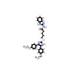 COc1ccc(-c2nc(SCCCCC(=O)Nc3nc4ccccc4[nH]3)[nH]c2-c2ccc(OC)cc2)cc1